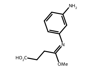 COC(CCC(=O)O)=Nc1cccc(N)c1